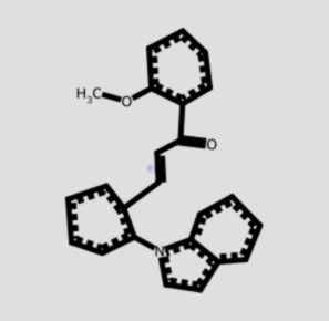 COc1ccccc1C(=O)/C=C/c1ccccc1-n1ccc2ccccc21